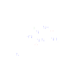 COc1cc2c(cc1Nc1nnc(C(N)=O)c(Nc3c(C)cccc3F)n1)CCN(C)C2